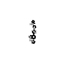 CC1(N[C@H]2CCN(c3ncc(-c4ccc(-n5cccn5)c5[nH]ncc45)nn3)C2)CCC1